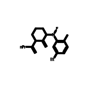 C=C(CCC)C1CCCC(N(F)c2cc(CC)ccc2C)C1=C